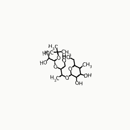 CC(OC1OC(CO)C(C)C(O)C1O)C(CO)O[C@H](OC(C)(C)C)C(O)O